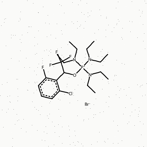 CCN(CC)[P+](OC(c1c(F)cccc1Cl)C(F)(F)F)(N(CC)CC)N(CC)CC.[Br-]